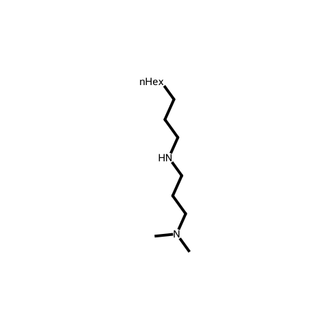 CCCCCCCCCNCCCN(C)C